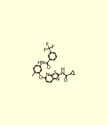 Cc1ccc(NC(=O)c2cccc(C(F)(F)F)c2)cc1Oc1ccc2nc(NC(=O)C3CC3)sc2n1